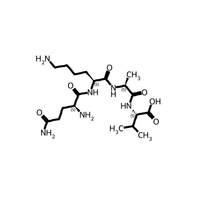 CC(C)[C@H](NC(=O)[C@H](C)NC(=O)[C@H](CCCCN)NC(=O)[C@@H](N)CCC(N)=O)C(=O)O